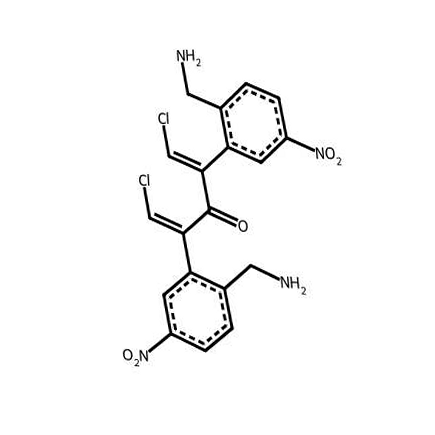 NCc1ccc([N+](=O)[O-])cc1C(=CCl)C(=O)C(=CCl)c1cc([N+](=O)[O-])ccc1CN